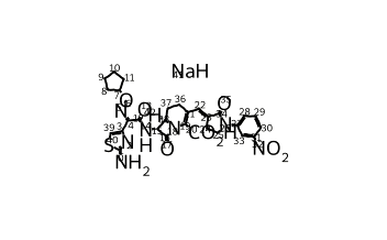 Nc1nc(/C(=N/OC2CCCC2)C(=O)N[C@@H]2C(=O)N3C(C(=O)O)=C(C=C4CCN(c5cccc([N+](=O)[O-])c5)C4=O)CC[C@H]23)cs1.[NaH]